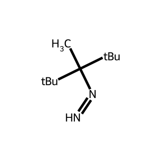 CC(C)(C)C(C)(N=N)C(C)(C)C